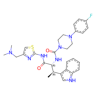 C[C@H](c1c[nH]c2ccccc12)[C@@H](NC(=O)N1CCN(c2ccc(F)cc2)CC1)C(=O)Nc1nc(CN(C)C)cs1